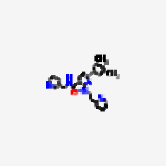 Cc1cc(C)cc(-c2ccc(C(=O)NCc3cccnc3)c(NCCc3ccccn3)n2)c1